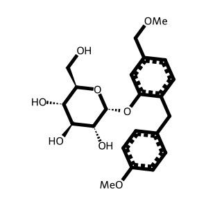 COCc1ccc(Cc2ccc(OC)cc2)c(O[C@H]2O[C@H](CO)[C@@H](O)[C@H](O)[C@H]2O)c1